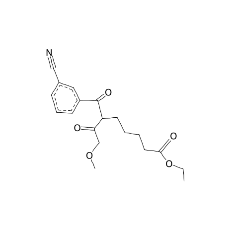 CCOC(=O)CCCCC(C(=O)COC)C(=O)c1cccc(C#N)c1